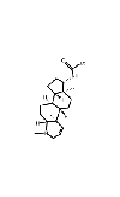 CCC(=O)N[C@H]1CC[C@H]2[C@@H]3CC[C@H]4N(C)CC=C[C@]4(C)[C@H]3CC[C@]12C